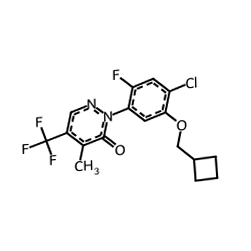 Cc1c(C(F)(F)F)cnn(-c2cc(OCC3CCC3)c(Cl)cc2F)c1=O